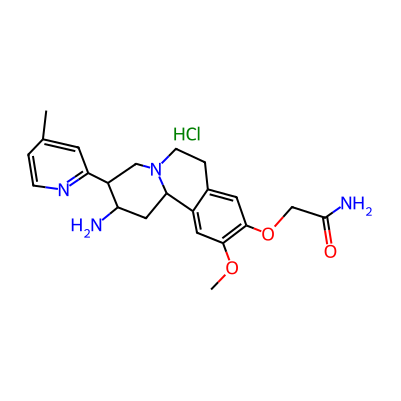 COc1cc2c(cc1OCC(N)=O)CCN1CC(c3cc(C)ccn3)C(N)CC21.Cl